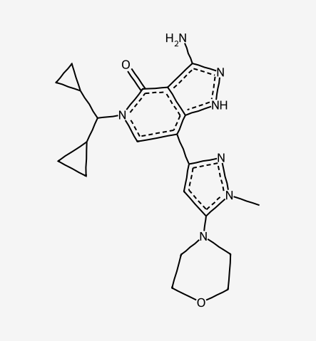 Cn1nc(-c2cn(C(C3CC3)C3CC3)c(=O)c3c(N)n[nH]c23)cc1N1CCOCC1